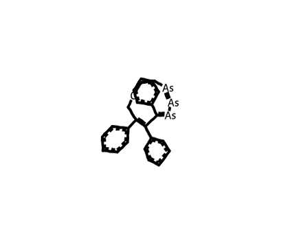 c1ccc(C2=[As]\[As]=[As]/CCCC/C(c3ccccc3)=C\2c2ccccc2)cc1